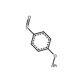 CCCOc1ccc([S+]=O)cc1